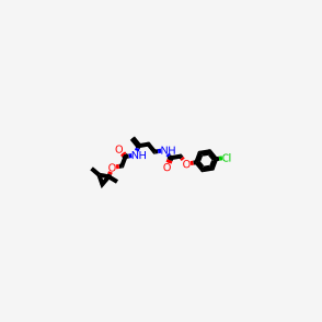 C=C(CCNC(=O)COc1ccc(Cl)cc1)NC(=O)COC1(C)CC1C